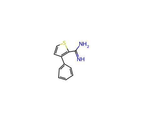 N=C(N)c1sccc1-c1ccccc1